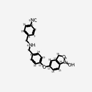 [C-]#[N+]c1ccc(CNCc2ccc(Oc3ccc4c(c3)COB4O)cc2)cc1